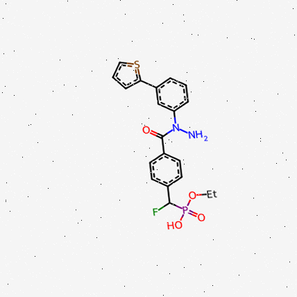 CCOP(=O)(O)C(F)c1ccc(C(=O)N(N)c2cccc(-c3cccs3)c2)cc1